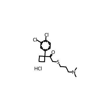 CN(C)CCCSCC(=O)C1(c2ccc(Cl)c(Cl)c2)CCC1.Cl